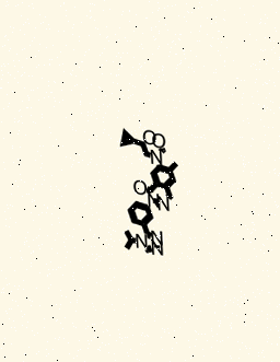 Cc1cc2cnn(-c3cccc(-c4nncn4C(C)C)c3)c(=O)c2cc1N(C=O)CC(=O)C1CC1